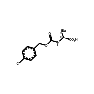 CC[C@H](C)[C@H](NC(=O)OCc1ccc(Cl)cc1)C(=O)O